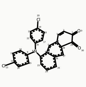 O=C1C=Cc2cc3c(N(c4ccc(Cl)cc4)c4ccc(Cl)cc4)cccc3cc2C1=O